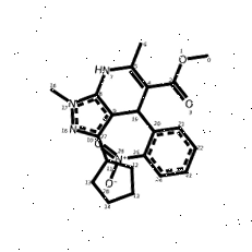 COC(=O)C1=C(C)Nc2c(c(C3CCCC3)nn2C)C1c1ccccc1[N+](=O)[O-]